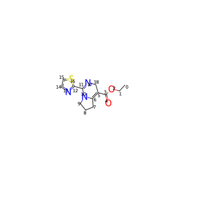 CCOC(=O)C1=C2CCCN2C(c2nccs2)=NC1